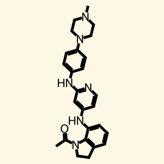 CC(=O)N1CCc2cccc(Nc3ccnc(Nc4ccc(N5CCN(C)CC5)cc4)c3)c21